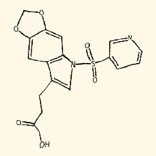 O=C(O)CCc1cn(S(=O)(=O)c2cccnc2)c2cc3c(cc12)OCO3